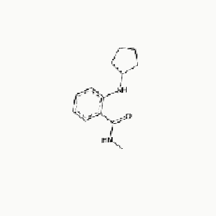 CNC(=O)c1ccccc1NC1CCCC1